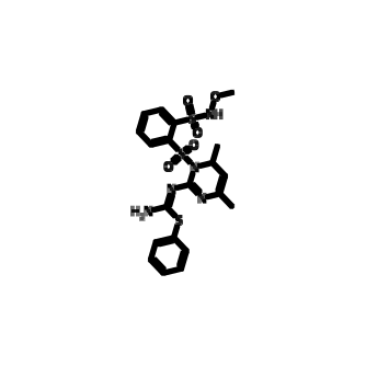 CONS(=O)(=O)c1ccccc1S(=O)(=O)N1C(N=C(N)Sc2ccccc2)=NC(C)=CC1C